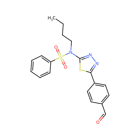 CCCCN(c1nnc(-c2ccc(C=O)cc2)s1)S(=O)(=O)c1ccccc1